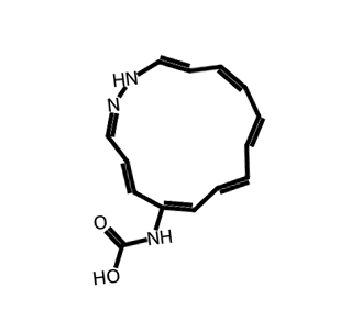 O=C(O)NC1=C/C=C/C=C/C=C\C=C\N/N=C\C=C\1